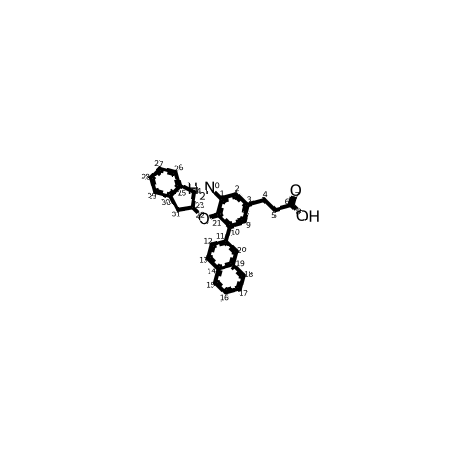 Nc1cc(CCC(=O)O)cc(-c2ccc3ccccc3c2)c1OC1Cc2ccccc2C1